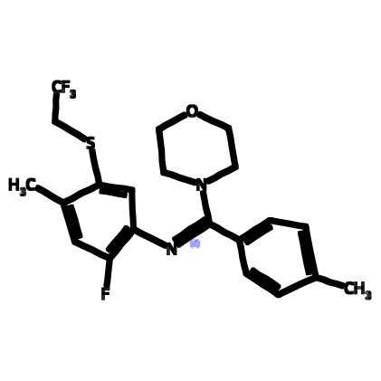 Cc1ccc(/C(=N/c2cc(SCC(F)(F)F)c(C)cc2F)N2CCOCC2)cc1